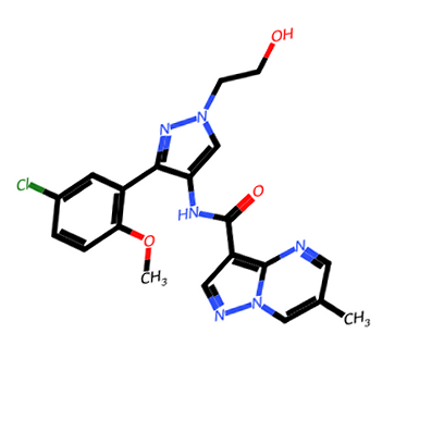 COc1ccc(Cl)cc1-c1nn(CCO)cc1NC(=O)c1cnn2cc(C)cnc12